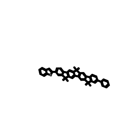 CC1(C)c2cc(-c3ccccc3)ccc2-c2cc3c(cc21)-c1cc2c(cc1C3(C)C)-c1ccc(-c3cc4ccccc4o3)cc1C2(C)C